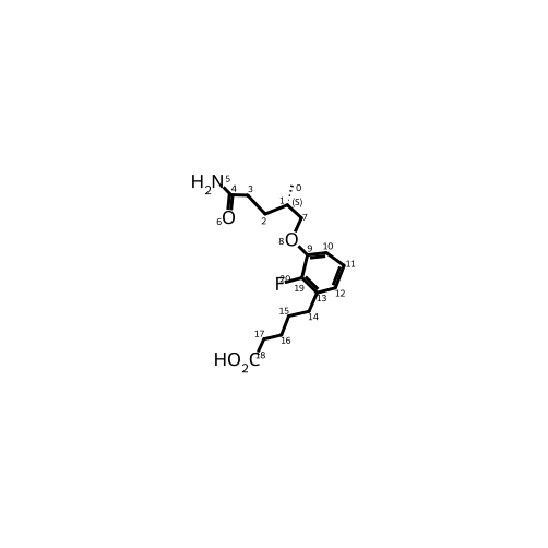 C[C@@H](CCC(N)=O)COc1cccc(CCCCC(=O)O)c1F